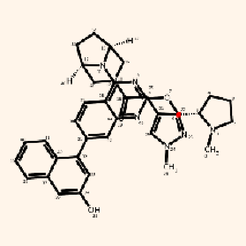 CN1CCC[C@H]1COc1nc(N2[C@@H]3CC[C@H]2CN(C(=O)Cc2cnn(C)c2)C3)c2ccc(-c3cc(O)cc4ccccc34)cc2n1